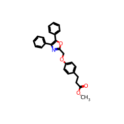 COC(=O)CCc1ccc(OCc2nc(-c3ccccc3)c(-c3ccccc3)o2)cc1